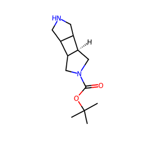 CC(C)(C)OC(=O)N1CC2C3CNCC3[C@H]2C1